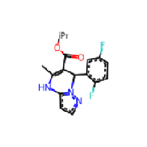 CC1=C(C(=O)OC(C)C)C(c2cc(F)ccc2F)n2nccc2N1